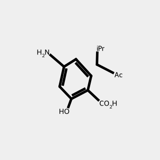 CC(=O)CC(C)C.Nc1ccc(C(=O)O)c(O)c1